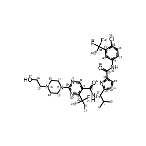 CC(C)[C@H](NC(=O)c1cnc(N2CCN(CCO)CC2)nc1C(F)(F)F)c1nc(C(=O)Nc2ccc(Cl)c(C(F)(F)F)c2)cs1